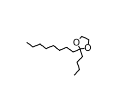 CCCCCCCCC1(CCCC)OCCO1